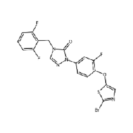 O=c1n(Cc2c(F)cccc2F)cnn1-c1ccc(Oc2cnc(Br)s2)c(F)c1